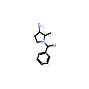 CCC(c1ccccc1)N1CCC(N)C1C